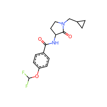 O=C(NC1CCN(CC2CC2)C1=O)c1ccc(OC(F)F)cc1